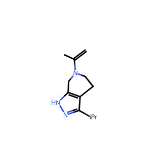 C=C(C)N1CCc2c(C(C)C)n[nH]c2C1